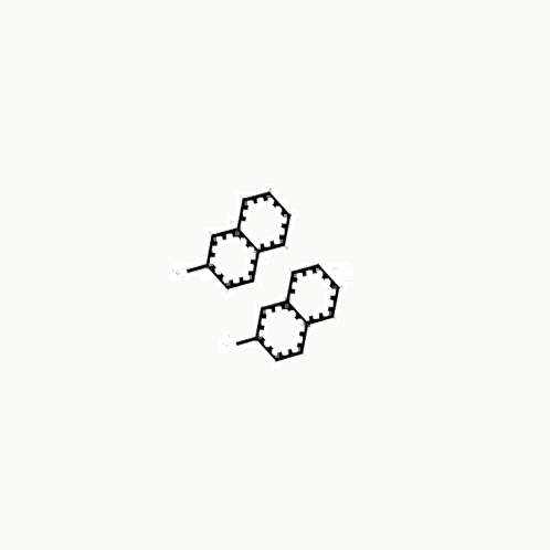 N#Cc1ccc2ccccc2c1.N#Cc1ccc2ccccc2c1.O